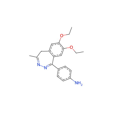 CCOc1cc2c(cc1OCC)C(c1ccc(N)cc1)=NN=C(C)C2